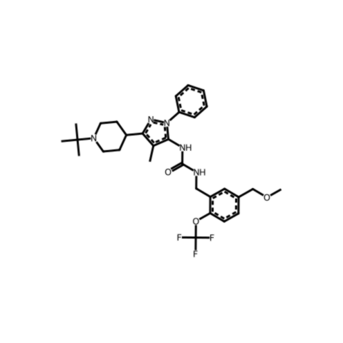 COCc1ccc(OC(F)(F)F)c(CNC(=O)Nc2c(C)c(C3CCN(C(C)(C)C)CC3)nn2-c2ccccc2)c1